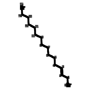 BrCC=CCCCCCCCCCCCBr